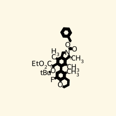 CCOC(=O)[C@@H](OC(C)(C)C)c1c(C)c2c(c(C)c1-c1cc(F)c3c(c1C)CCCO3)[C@@H](C)N(C(=O)OCc1ccccc1)C2